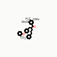 COc1cc(C(=O)C(CCCc2ccccc2)Cc2ccc(Oc3ccccc3C(=O)O)cc2)cc(OC)c1C